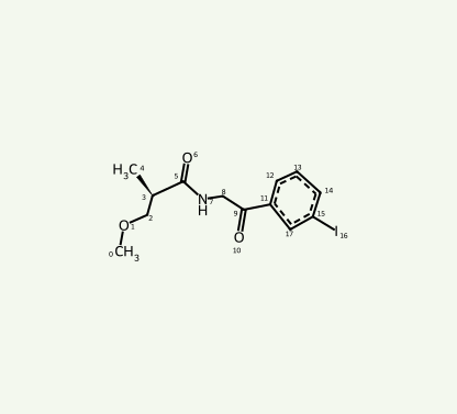 COC[C@@H](C)C(=O)NCC(=O)c1cccc(I)c1